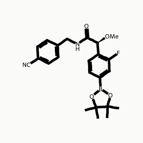 CO[C@H](C(=O)NCc1ccc(C#N)cc1)c1ccc(B2OC(C)(C)C(C)(C)O2)cc1F